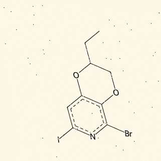 CCC1COc2c(cc(I)nc2Br)O1